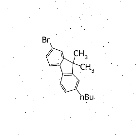 CCCCc1ccc2c(c1)C(C)(C)c1cc(Br)ccc1-2